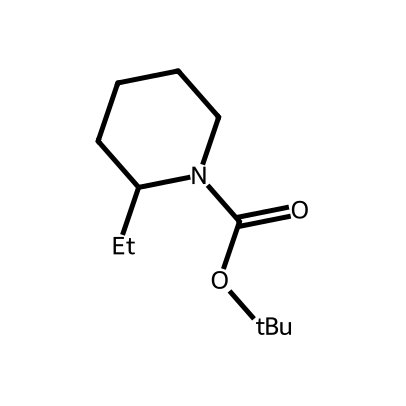 [CH2]CC1CCCCN1C(=O)OC(C)(C)C